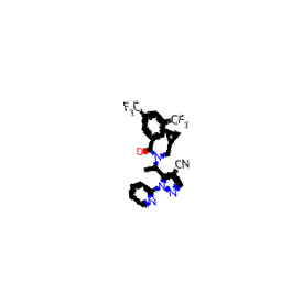 CC(c1c(C#N)cnn1-c1ccccn1)N(CC1CC1)C(=O)c1cc(C(F)(F)F)cc(C(F)(F)F)c1